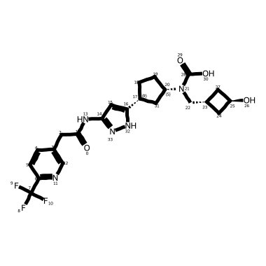 O=C(Cc1ccc(C(F)(F)F)nc1)Nc1cc([C@@H]2CC[C@H](N(C[C@H]3C[C@H](O)C3)C(=O)O)C2)[nH]n1